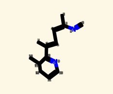 C=N/C(C)=C\C=C(/C)C1=NC=CCC1C